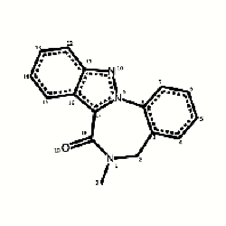 CN1Cc2ccccc2-n2nc3ccccc3c2C1=O